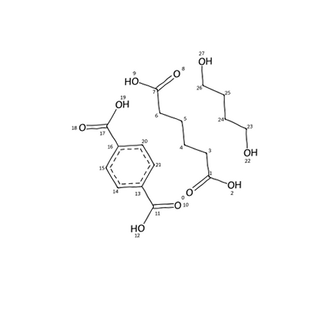 O=C(O)CCCCC(=O)O.O=C(O)c1ccc(C(=O)O)cc1.OCCCCO